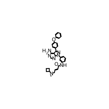 CN(CC=CC(=O)Nc1cccc(-n2nc(-c3ccc(Oc4ccccc4)cc3)c3c(N)ncnc32)c1)C1CCC1